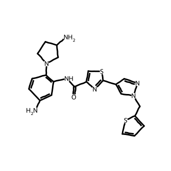 Nc1ccc(N2CCC(N)C2)c(NC(=O)c2csc(-c3cnn(Cc4cccs4)c3)n2)c1